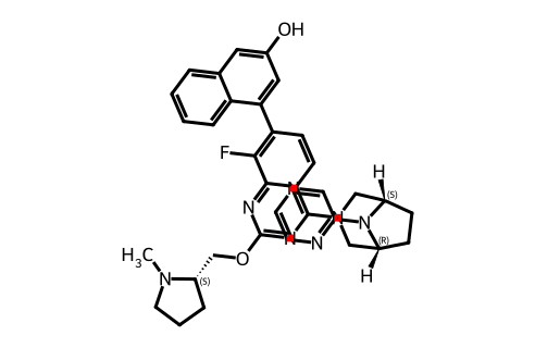 CN1CCC[C@H]1COc1nc(N2C[C@H]3CC[C@@H](C2)N3c2cnccn2)c2ccc(-c3cc(O)cc4ccccc34)c(F)c2n1